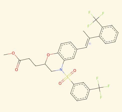 COC(=O)CCC1CN(S(=O)(=O)c2cccc(C(F)(F)F)c2)c2cc(/C=C(\C)c3ccccc3C(F)(F)F)ccc2O1